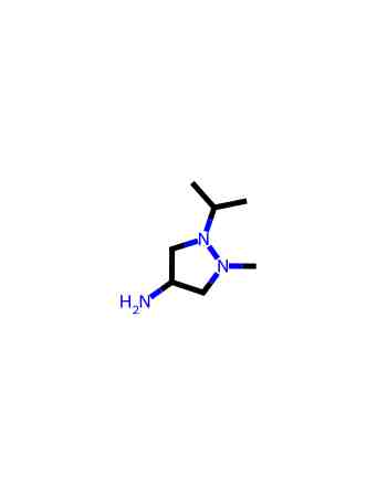 CC(C)N1CC(N)CN1C